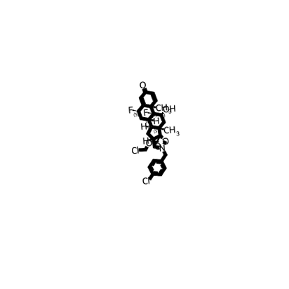 C[C@]12C=CC(=O)C=C1[C@@H](F)C[C@H]1[C@@H]3C[C@H]4CN(Cc5ccc(Cl)cc5)O[C@@]4(C(=O)OCCl)[C@@]3(C)C[C@H](O)[C@@]12F